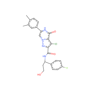 Cc1ccc(-c2cn3nc(C(=O)NC(CCO)c4ccc(F)cc4)c(Cl)c3c(=O)[nH]2)cc1C